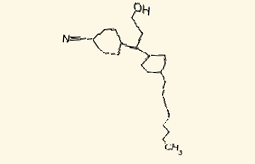 CCCCCCCC1CCC(C(CCO)C2CCC(C#N)CC2)CC1